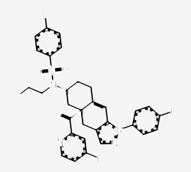 O=C(c1cc(F)ccn1)[C@]12Cc3cnn(-c4ccc(F)cc4)c3C=C1CC[C@H](N(CCF)S(=O)(=O)c1ccc(F)cc1)C2